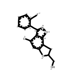 OCC1Cc2c(cc(Cl)c3c(-c4ccccc4F)noc23)O1